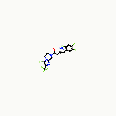 N[C@@H](CC(=O)N1CCn2c(nc(C(F)(F)F)c2F)C1)Cc1cc(F)c(F)cc1F